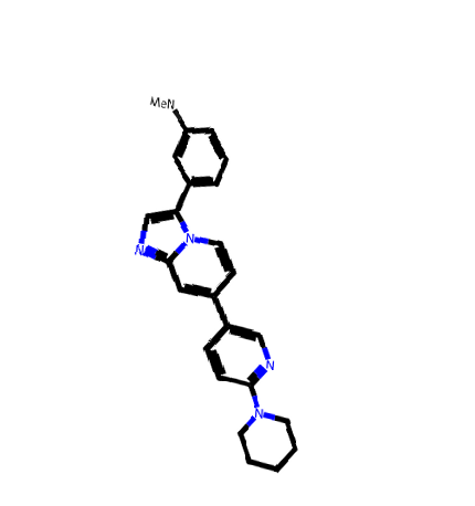 CNc1cccc(-c2cnc3cc(-c4ccc(N5CCCCC5)nc4)ccn23)c1